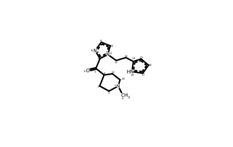 CN1CCC(C(=O)c2nccn2CCc2ccc[nH]2)CC1